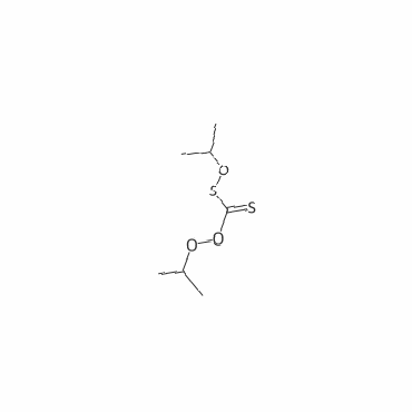 CC(C)OOC(=S)SOC(C)C